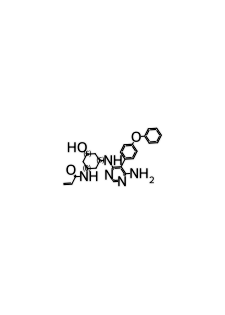 C=CC(=O)N[C@H]1C[C@@H](O)C[C@@H](Nc2ncnc(N)c2-c2ccc(Oc3ccccc3)cc2)C1